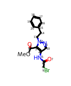 COC(=O)c1c(NC(=O)CBr)cnn1CCc1ccccc1